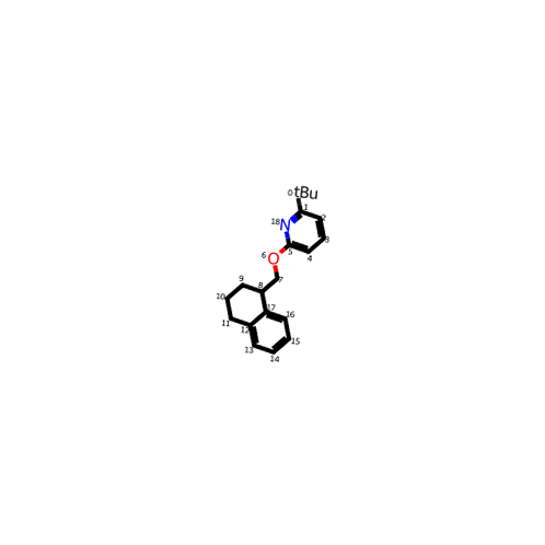 CC(C)(C)c1cccc(OCC2CCCc3ccccc32)n1